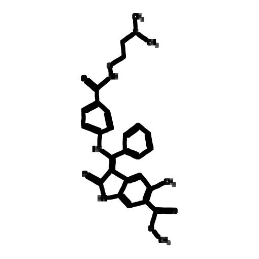 COC(=O)c1cc2c(cc1C)/C(=C(/Nc1ccc(C(=O)NOCCN(C)C)cc1)c1ccccc1)C(=O)N2